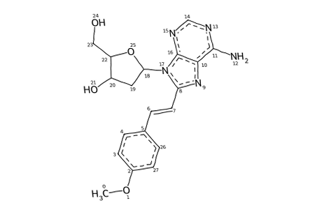 COc1ccc(/C=C/c2nc3c(N)ncnc3n2C2CC(O)C(CO)O2)cc1